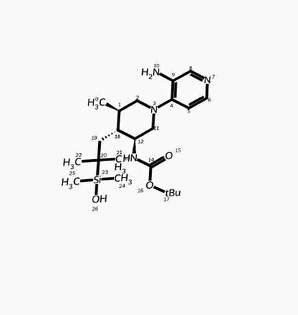 C[C@H]1CN(c2ccncc2N)C[C@@H](NC(=O)OC(C)(C)C)[C@@H]1CC(C)(C)[Si](C)(C)O